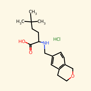 CC(C)(C)CCC(NCc1ccc2c(c1)CCOC2)C(=O)O.Cl